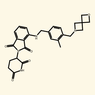 Cc1cc(CNc2cccc3c2C(=O)N(C2CCC(=O)NC2=O)C3=O)ccc1CN1CC2(COC2)C1